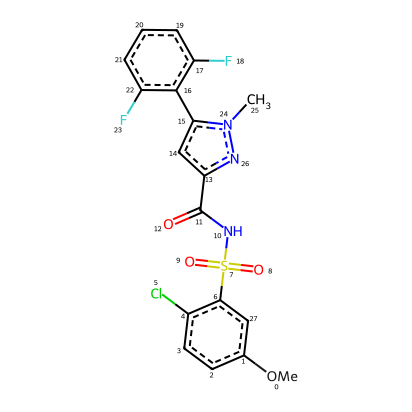 COc1ccc(Cl)c(S(=O)(=O)NC(=O)c2cc(-c3c(F)cccc3F)n(C)n2)c1